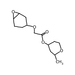 CC1CC(OC(=O)COC2CCC3OC3C2)CCO1